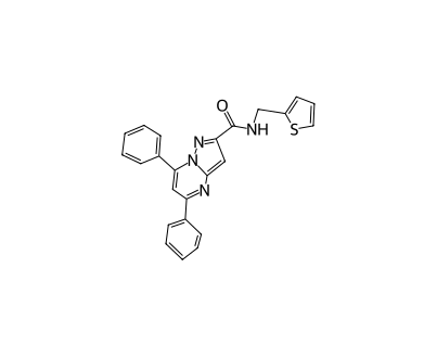 O=C(NCc1cccs1)c1cc2nc(-c3ccccc3)cc(-c3ccccc3)n2n1